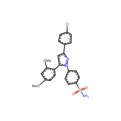 COc1ccc(-c2cc(-c3ccc(Cl)cc3)nn2-c2ccc(S(N)(=O)=O)cc2)c(OC)c1